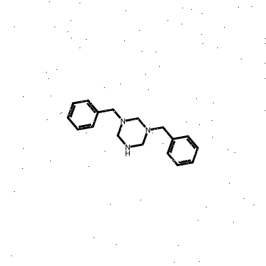 c1ccc(CN2CNCN(Cc3ccccc3)C2)cc1